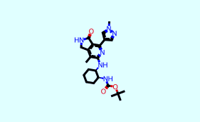 Cc1c(N[C@@H]2CCCC[C@@H]2NC(=O)OC(C)(C)C)nc(-c2cnn(C)c2)c2c1CNC2=O